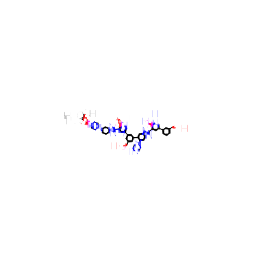 COc1ncc(-c2cc(CO)cc(-c3cc4[nH]c(-c5cc(-c6cccc(CO)c6)c[nH]c5=O)nc4cc3N3CCNCC3)c2)cc1-c1nc2cc(N3CCN(C(=O)OC(C)(C)C)CC3)ccc2[nH]1